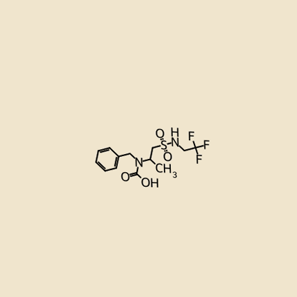 CC(CS(=O)(=O)NCC(F)(F)F)N(Cc1ccccc1)C(=O)O